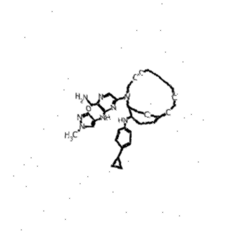 Cn1cc(Nc2nc(N3CCCCCCCCCCC4CCC(Nc5ccc(C6CC6)cc5)C3CC4)cnc2C(N)=O)cn1